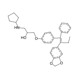 CC/C(=C(\c1ccccc1)c1ccc(OCC(O)CNC2CCCC2)cc1)c1ccc2c(c1)OCO2